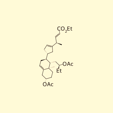 CCOC(=O)/C=C/[C@@H](C)C1=CC[C@@H]([C@@H]2CC=C3C[C@@H](OC(C)=O)CC[C@]3(C)[C@H]2C[C@H](CC)OC(C)=O)C1